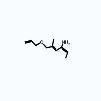 C=CCOC/C(C)=C/C(N)=C\C